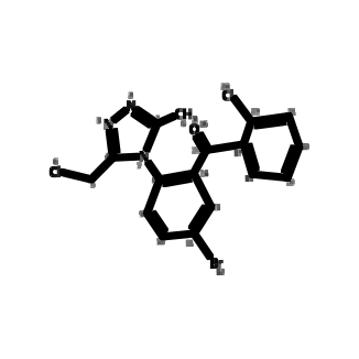 Cc1nnc(CCl)n1-c1ccc(Br)cc1C(=O)c1ccccc1Cl